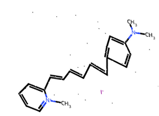 CN(C)c1ccc(/C=C/C=C/C=C/c2cccc[n+]2C)cc1.[I-]